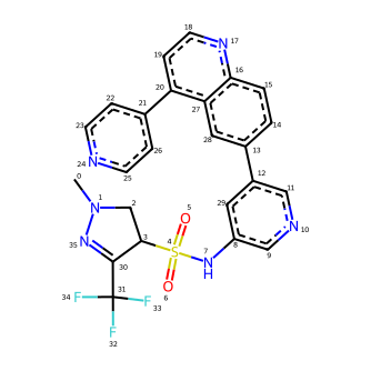 CN1CC(S(=O)(=O)Nc2cncc(-c3ccc4nccc(-c5ccncc5)c4c3)c2)C(C(F)(F)F)=N1